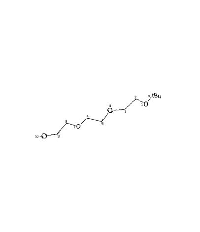 CC(C)(C)OCCOCCOCC[O]